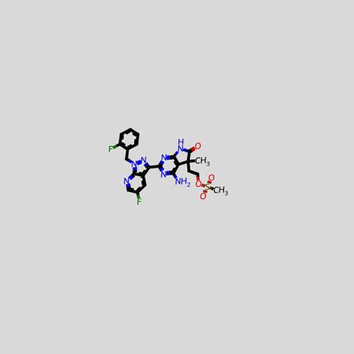 CC1(CCOS(C)(=O)=O)C(=O)Nc2nc(-c3nn(Cc4ccccc4F)c4ncc(F)cc34)nc(N)c21